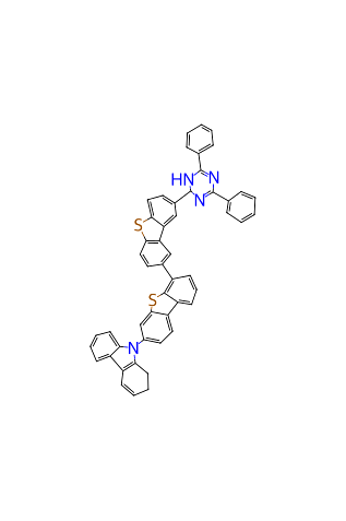 C1=Cc2c(n(-c3ccc4c(c3)sc3c(-c5ccc6sc7ccc(C8N=C(c9ccccc9)N=C(c9ccccc9)N8)cc7c6c5)cccc34)c3ccccc23)CC1